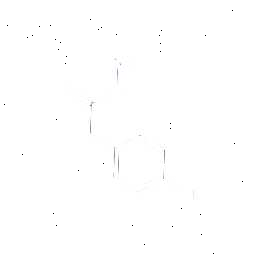 NOC(=O)Cc1ccc(Cl)cc1